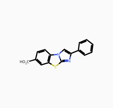 O=C(O)c1ccc2c(c1)sc1nc(-c3ccccc3)cn12